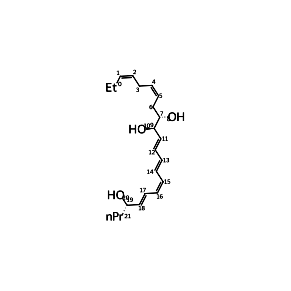 CC/C=C\C/C=C\C[C@H](O)[C@H](O)/C=C/C=C/C=C\C=C\[C@@H](O)CCC